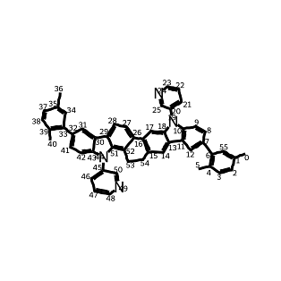 Cc1ccc(C)c(-c2ccc3c(c2)c2cc4c(cc2n3-c2cccnc2)-c2ccc3c5cc(-c6cc(C)ccc6C)ccc5n(-c5cccnc5)c3c2CC4)c1